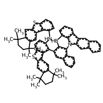 CC1(C)CCC(C)(C)c2cc3c(cc21)sc1cccc(Nc2ccc4sc5cc6c(cc5c4c2-c2cc4ccccc4c4c2Bc2cccc5c7cc8ccccc8cc7n-4c25)C(C)(C)CCC6(C)C)c13